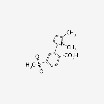 Cc1ccc(-c2cc(S(C)(=O)=O)ccc2C(=O)O)n1C